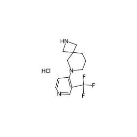 Cl.FC(F)(F)c1cnccc1N1CCCC2(CNC2)C1